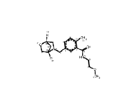 COCCNC(=O)c1cc(CN2C[C@@H]3C[C@H]2CO3)ccc1C